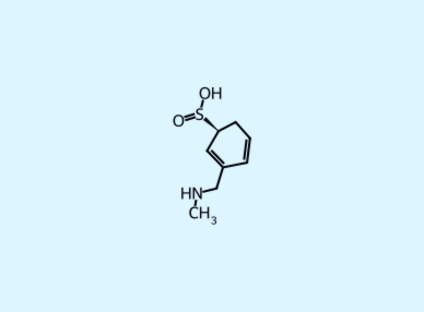 CNCC1=C[C@@H](S(=O)O)CC=C1